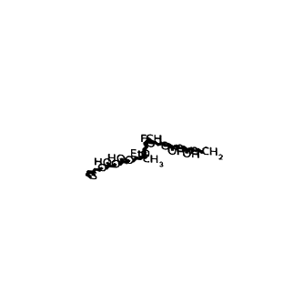 C=CCOCC(O)COCC(O)COCCCOC(C)(F)CCCOC(C)(CC)CCCOCC(O)COCC(O)COCCc1cccs1